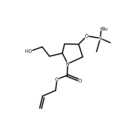 C=CCOC(=O)N1CC(O[Si](C)(C)C(C)(C)C)CC1CCO